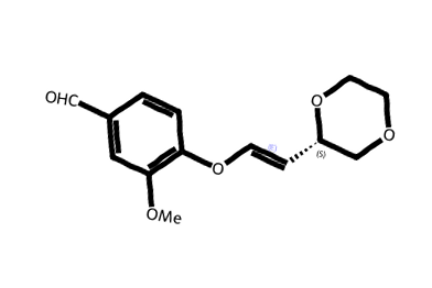 COc1cc(C=O)ccc1O/C=C/[C@H]1COCCO1